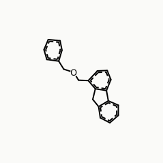 c1ccc(COCc2cccc3c2Cc2ccccc2-3)cc1